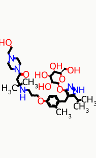 Cc1cc(OCCCNC(C)(C)CC(=O)N2CCN(CCO)CC2)ccc1Cc1c(O[C@@H]2O[C@H](CO)[C@@H](O)[C@H](O)[C@H]2O)n[nH]c1C(C)C